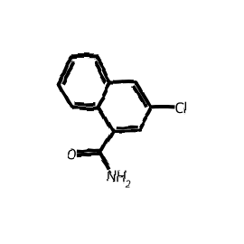 NC(=O)c1cc(Cl)cc2ccccc12